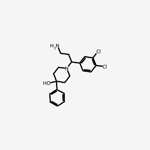 NCCC(c1ccc(Cl)c(Cl)c1)N1CCC(O)(c2ccccc2)CC1